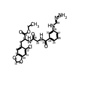 CCOC(=O)C(Cc1cc2c(cc1Cl)OCO2)NC(=O)CNC(=O)c1cccc(NC=NN)c1